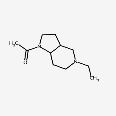 CCN1CCC2C(CCN2C(C)=O)C1